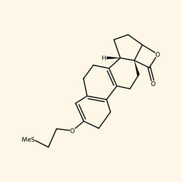 CSCCOC1=CC2=C(CC1)C1=C(CC2)[C@@H]2CCC3OC(=O)[C@@]32CC1